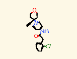 C#CC1(N2C=CC(NC(=O)Cc3ccccc3Cl)=CC2)CCOCC1